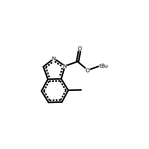 Cc1cccc2cnn(C(=O)OC(C)(C)C)c12